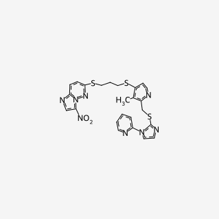 Cc1c(SCCCSc2ccc3ncc([N+](=O)[O-])n3n2)ccnc1CSc1nccn1-c1ccccn1